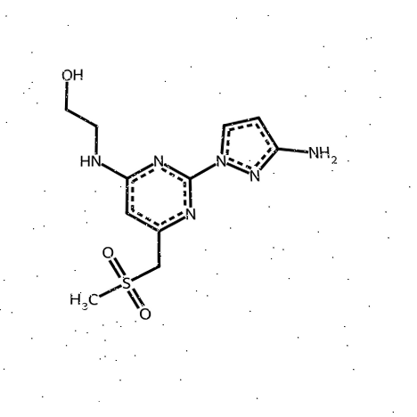 CS(=O)(=O)Cc1cc(NCCO)nc(-n2ccc(N)n2)n1